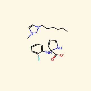 CCCCCCn1cc[n+](C)c1.O=C([O-])C1(Nc2ccccc2F)C=CC=CN1